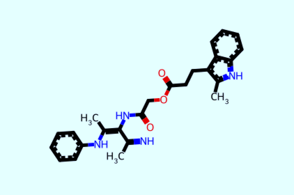 CC(=N)/C(NC(=O)COC(=O)CCc1c(C)[nH]c2ccccc12)=C(/C)Nc1ccccc1